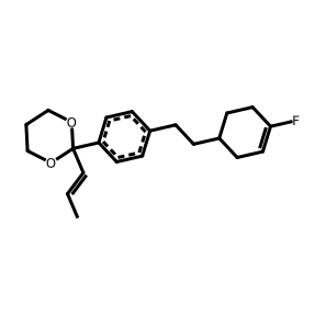 C/C=C/C1(c2ccc(CCC3CC=C(F)CC3)cc2)OCCCO1